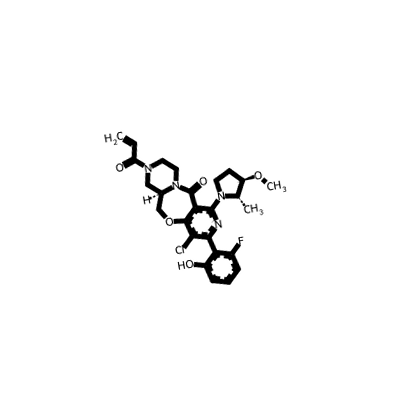 C=CC(=O)N1CCN2C(=O)c3c(N4CC[C@@H](OC)[C@@H]4C)nc(-c4c(O)cccc4F)c(Cl)c3OC[C@H]2C1